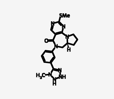 CSc1ncc2c(n1)N1CCC[C@H]1CN(c1cccc(C3=NNNN3C)c1)C2=O